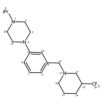 CC(C)N1CCN(c2[c]ccc(CN3CCCC(C(F)(F)F)C3)c2)CC1